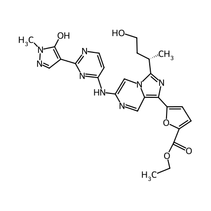 CCOC(=O)c1ccc(-c2nc([C@@H](C)CCO)n3cc(Nc4ccnc(-c5cnn(C)c5O)n4)ncc23)o1